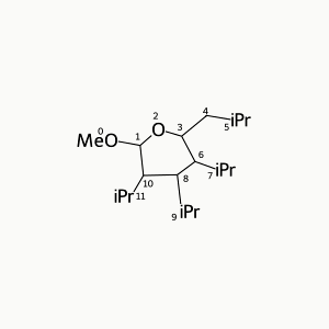 COC1OC(CC(C)C)C(C(C)C)C(C(C)C)C1C(C)C